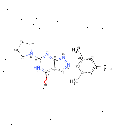 Cc1cc(C)c(-n2cc3c(=O)[nH]c(N4CCCC4)nc3n2)c(C)c1